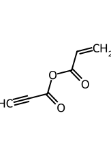 C#CC(=O)OC(=O)C=C